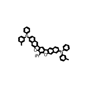 Cc1cccc(N(c2ccccc2)c2ccc3cc4c(cc3c2)oc2c(C(C)C)c3oc5cc6cc(N(c7ccccc7)c7cccc(C)c7)ccc6cc5c3cc24)c1